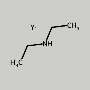 CCNCC.[Y]